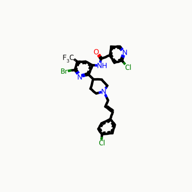 O=C(Nc1cc(C(F)(F)F)c(Br)nc1C1CCN(C/C=C/c2ccc(Cl)cc2)CC1)c1ccnc(Cl)c1